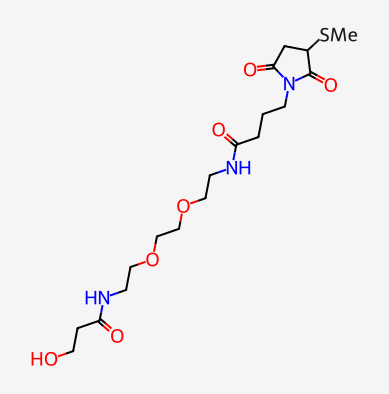 CSC1CC(=O)N(CCCC(=O)NCCOCCOCCNC(=O)CCO)C1=O